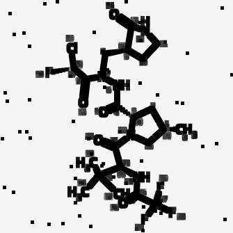 C[C@H]1C[C@@H](C(=O)NN(C[C@@H]2CCNC2=O)C(=O)[C@H](F)Cl)N(C(=O)[C@@H](NC(=O)C(F)(F)F)C(C)(C)C)C1